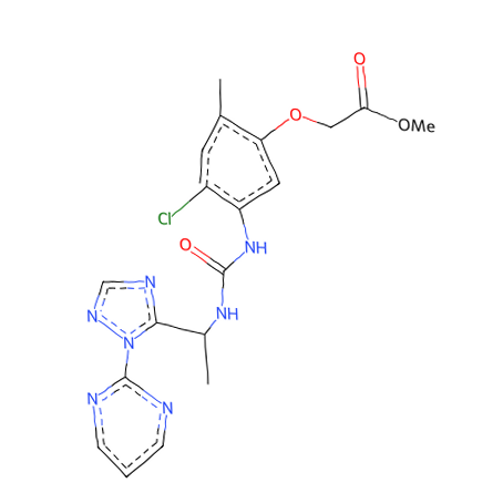 COC(=O)COc1cc(NC(=O)NC(C)c2ncnn2-c2ncccn2)c(Cl)cc1C